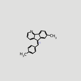 Cc1ccc(/C=C2/c3cc(C)ccc3-c3ncccc32)cc1